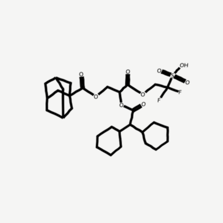 O=C(OCC(F)(F)S(=O)(=O)O)C(COC(=O)C12CC3CC(CC(C3)C1)C2)OC(=O)C(C1CCCCC1)C1CCCCC1